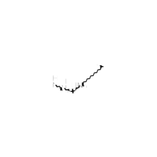 CNCCC(=O)NCCOC(C)(C)OCCNC(=O)CCCCCCCCCCC(C)=O